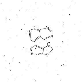 c1ccc2c(c1)OCO2.c1ccc2ncncc2c1